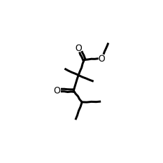 COC(=O)C(C)(C)C(=O)C(C)C